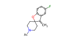 C=C1c2cc(F)ccc2OC12CCN(C(C)=O)CC2